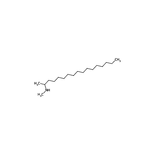 CCCCCCCCCCCCCCCC(C)NC